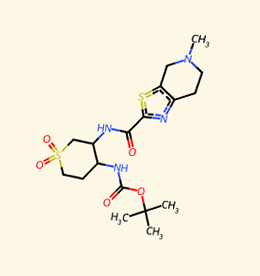 CN1CCc2nc(C(=O)NC3CS(=O)(=O)CCC3NC(=O)OC(C)(C)C)sc2C1